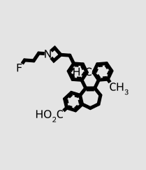 Cc1cccc(C)c1C1=C(c2ccc(CC3CN(CCCF)C3)cc2)c2ccc(C(=O)O)cc2CCC1